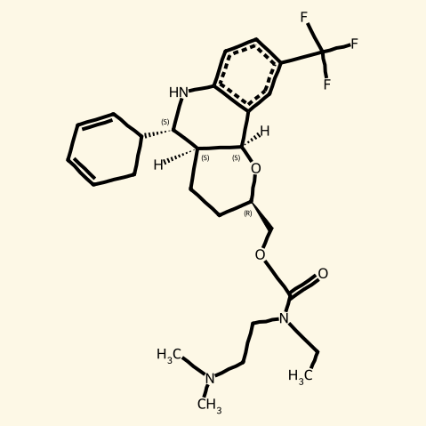 CCN(CCN(C)C)C(=O)OC[C@H]1CC[C@@H]2[C@H](O1)c1cc(C(F)(F)F)ccc1N[C@H]2C1C=CC=CC1